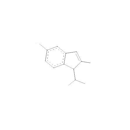 CC(O)C1C(Cl)=Cc2cc(Cl)ccc21